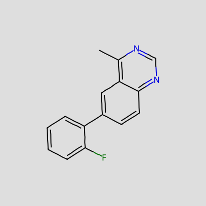 Cc1ncnc2ccc(-c3ccccc3F)cc12